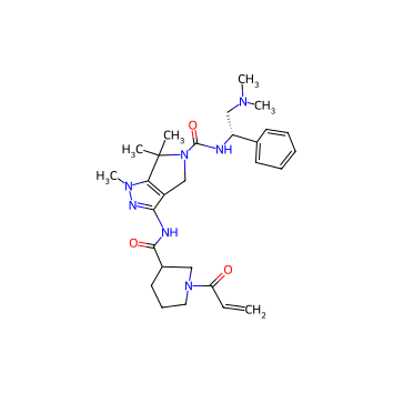 C=CC(=O)N1CCCC(C(=O)Nc2nn(C)c3c2CN(C(=O)N[C@H](CN(C)C)c2ccccc2)C3(C)C)C1